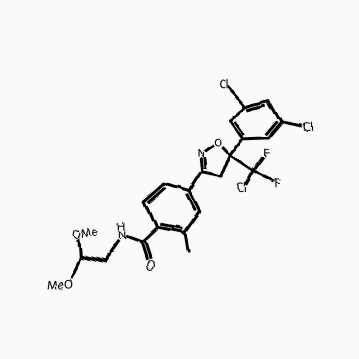 COC(CNC(=O)c1ccc(C2=NOC(c3cc(Cl)cc(Cl)c3)(C(F)(F)Cl)C2)cc1C)OC